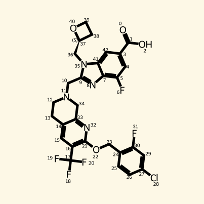 O=C(O)c1cc(F)c2nc(CN3CCc4cc(C(F)(F)F)c(OCc5ccc(Cl)cc5F)nc4C3)n(C[C@@H]3CCO3)c2c1